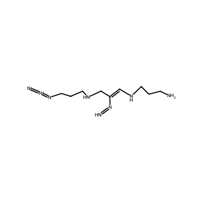 [N-]=[N+]=NCCCNC/C(=C/NCCCN)N=N